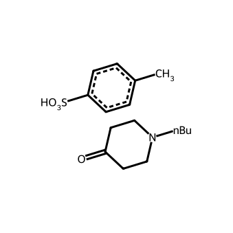 CCCCN1CCC(=O)CC1.Cc1ccc(S(=O)(=O)O)cc1